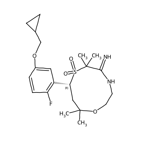 CC1(C)C[C@H](c2cc(OCC3CC3)ccc2F)S(=O)(=O)C(C)(C)C(=N)NCCO1